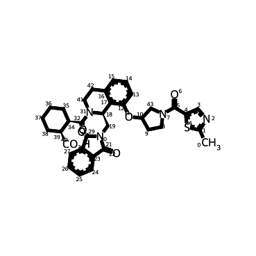 Cc1ncc(C(=O)N2CCC(Oc3cccc4c3[C@@H](CN3C(=O)c5ccccc5C3=O)N(C(=O)[C@@H]3CCCC[C@@H]3C(=O)O)CC4)C2)s1